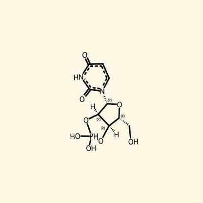 O=c1ccn([C@@H]2O[C@H](CO)[C@H]3O[PH](O)(O)O[C@H]32)c(=O)[nH]1